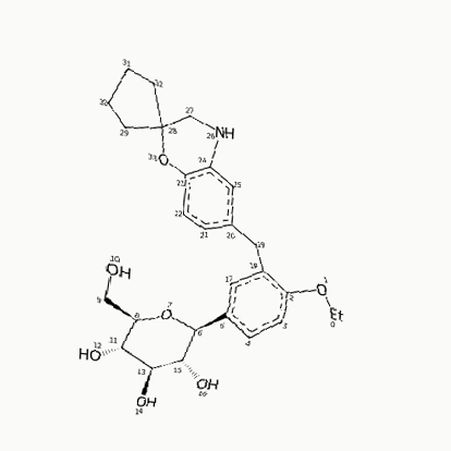 CCOc1ccc([C@@H]2O[C@H](CO)[C@@H](O)[C@H](O)[C@H]2O)cc1Cc1ccc2c(c1)NCC1(CCCC1)O2